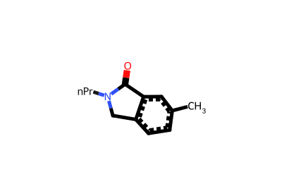 CCCN1Cc2ccc(C)cc2C1=O